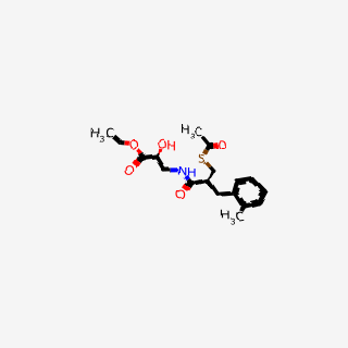 CCOC(=O)[C@@H](O)CNC(=O)[C@@H](CSC(C)=O)Cc1ccccc1C